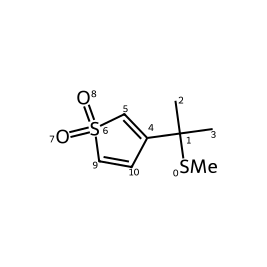 CSC(C)(C)C1=CS(=O)(=O)C=C1